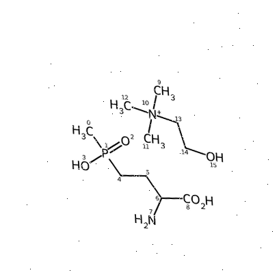 CP(=O)(O)CCC(N)C(=O)O.C[N+](C)(C)CCO